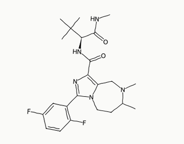 CNC(=O)[C@@H](NC(=O)c1nc(-c2cc(F)ccc2F)n2c1CN(C)C(C)CC2)C(C)(C)C